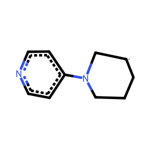 [CH]1CCCN(c2ccncc2)C1